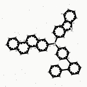 c1ccc(-c2ccccc2-c2ccc(N(c3ccc4c(ccc5c6ccccc6ccc45)c3)c3ccc4c(c3)oc3ccccc34)cc2)cc1